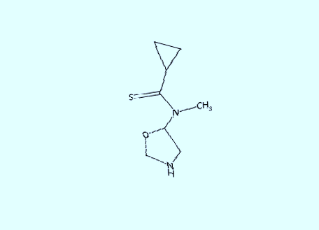 CN(C(=S)C1CC1)C1CNCO1